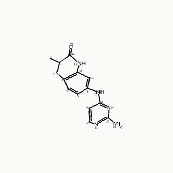 CC1Sc2ccc(Nc3ccnc(N)n3)cc2NC1=O